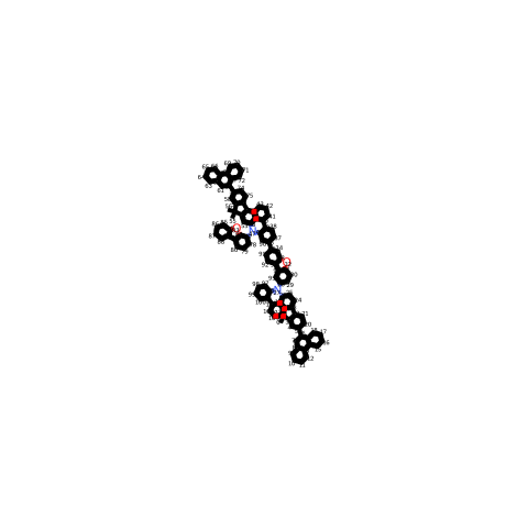 CC1(C)c2cc(-c3cc4ccccc4c4ccccc34)ccc2-c2ccc(N(c3ccc4oc5cc(-c6ccc(-c7ccccc7)c(N(c7ccc8c(c7)C(C)(C)c7cc(-c9cc%10ccccc%10c%10ccccc9%10)ccc7-8)c7cccc8c7oc7ccccc78)c6)ccc5c4c3)c3ccccc3-c3ccccc3)cc21